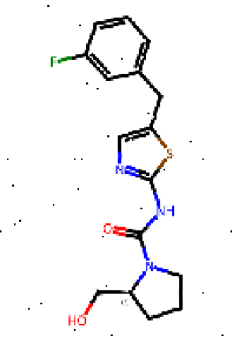 O=C(Nc1ncc(Cc2cccc(F)c2)s1)N1CCC[C@H]1CO